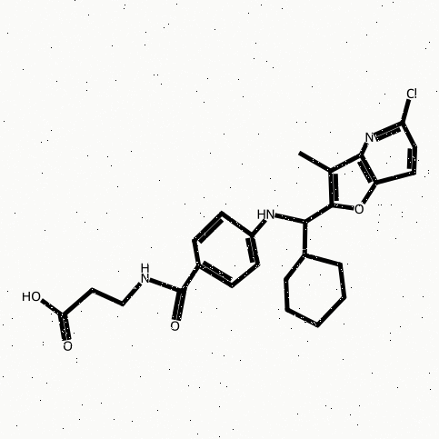 Cc1c(C(Nc2ccc(C(=O)NCCC(=O)O)cc2)C2CCCCC2)oc2ccc(Cl)nc12